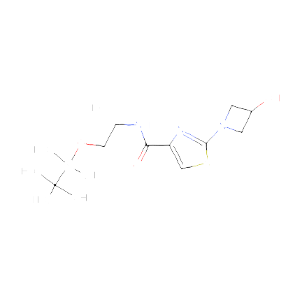 C[C@@H](CO[Si](C)(C)C(C)(C)C)NC(=O)c1csc(N2CC(O)C2)n1